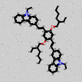 CCCCC(CC)COc1cc(C=Cc2ccc3c(c2)c2ccccc2n3CC)c(OCC(CC)CCCC)cc1C=Cc1ccc2c(c1)c1ccccc1n2CC